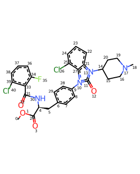 COC(=O)[C@H](Cc1ccc(-n2c(=O)n(C3CCN(C)CC3)c3cccc(Cl)c32)cc1)NC(=O)c1c(F)cccc1Cl